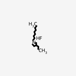 CCCCCCCCCN1CCC(CCC)C1.F